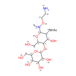 CC(=O)NC1C(O)C(OC2OC(CO)C(O)C(O)C2O)C(CO)OC1N(C)OCCN